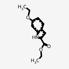 CCOC(=O)c1cc2ccc(OCC)cc2[nH]1